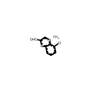 C.O=Cc1cnc2c(Cl)cccc2n1